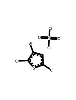 Clc1cc(Br)c(Cl)s1.O=S(=O)(Cl)Cl